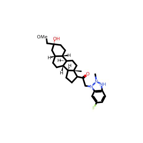 COC[C@@]1(O)CC[C@H]2[C@H](CC[C@@H]3[C@@H]2CC[C@]2(C)C(C(=O)CN4c5cc(F)ccc5NN4C)CC[C@@H]32)C1